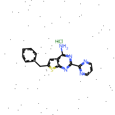 Cl.Nc1nc(-c2ncccn2)nc2sc(Cc3ccccc3)cc12